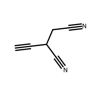 C#CC(C#N)CC#N